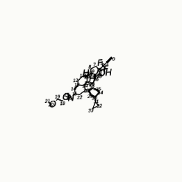 C#CC(F)(F)[C@]1(O)CC[C@H]2[C@@H]3CCC4=CC(=NOCCOC)CCC4=C3[C@@H](c3ccc(C4CC4)cc3)C[C@@]21C